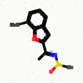 COc1cccc2cc(/C(C)=N/[S+]([O-])C(C)(C)C)oc12